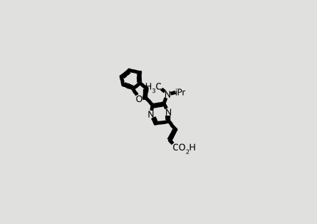 CC(C)N(C)c1nc(/C=C/C(=O)O)cnc1-c1cc2ccccc2o1